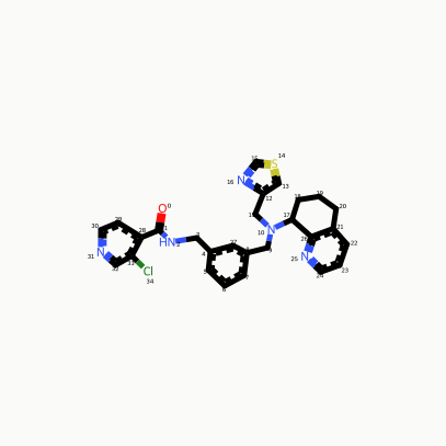 O=C(NCc1cccc(CN(Cc2cscn2)C2CCCc3cccnc32)c1)c1ccncc1Cl